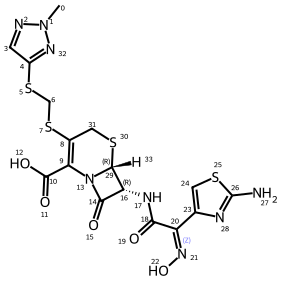 Cn1ncc(SCSC2=C(C(=O)O)N3C(=O)[C@@H](NC(=O)/C(=N\O)c4csc(N)n4)[C@H]3SC2)n1